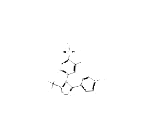 NS(=O)(=O)c1cc(F)c(-c2c(-c3ccc(Cl)cc3)noc2C(F)(F)F)cc1F